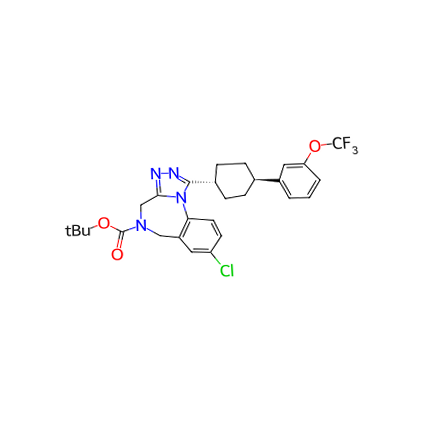 CC(C)(C)OC(=O)N1Cc2cc(Cl)ccc2-n2c(nnc2[C@H]2CC[C@H](c3cccc(OC(F)(F)F)c3)CC2)C1